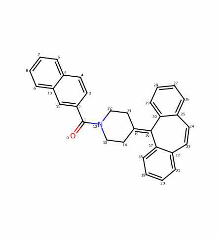 O=C(c1ccc2ccccc2c1)N1CCC(=C2c3ccccc3C=Cc3ccccc32)CC1